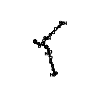 O=C(O)CCOCCOCCOCCOCCNC(=O)COc1ccc(-c2cc(OCC(=O)NCCOCCOCCOCCOCCC(=O)O)cc(C(=O)OCc3ccccc3)c2)cc1